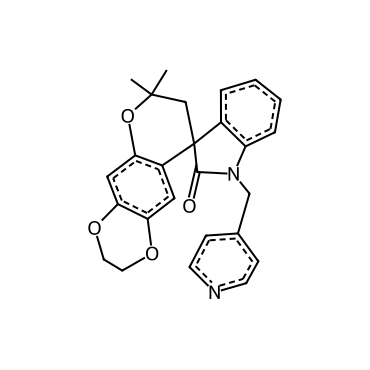 CC1(C)CC2(C(=O)N(Cc3ccncc3)c3ccccc32)c2cc3c(cc2O1)OCCO3